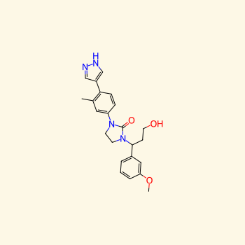 COc1cccc(C(CCO)N2CCN(c3ccc(-c4cn[nH]c4)c(C)c3)C2=O)c1